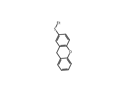 CCSc1ccc2c(c1)Cc1ccccc1O2